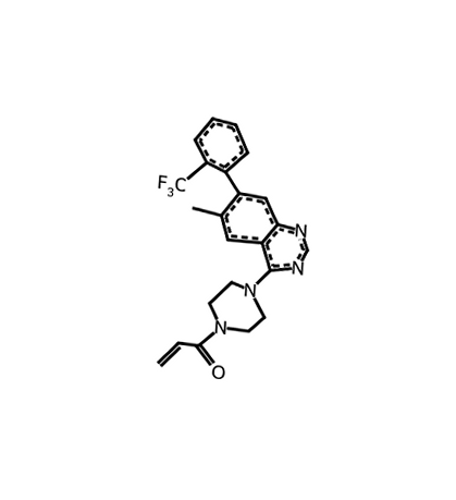 C=CC(=O)N1CCN(c2ncnc3cc(-c4ccccc4C(F)(F)F)c(C)cc23)CC1